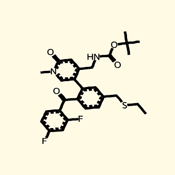 CCSCc1ccc(C(=O)c2ccc(F)cc2F)c(-c2cn(C)c(=O)cc2CNC(=O)OC(C)(C)C)c1